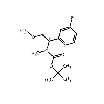 COC[C@@H](c1cc(Br)ccn1)N(C)C(=O)OC(C)(C)C